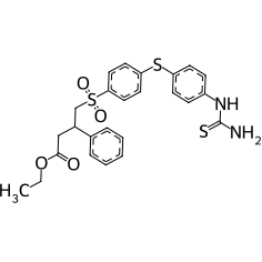 CCOC(=O)CC(CS(=O)(=O)c1ccc(Sc2ccc(NC(N)=S)cc2)cc1)c1ccccc1